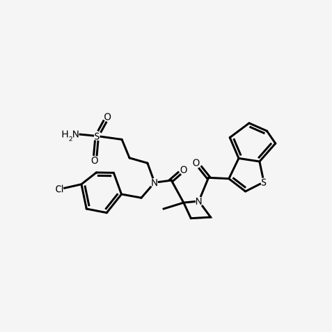 CC1(C(=O)N(CCCS(N)(=O)=O)Cc2ccc(Cl)cc2)CCN1C(=O)c1csc2ccccc12